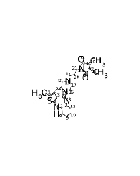 Cc1cc2c(s1)Nc1ccccc1N=C2N1CCN(CCCN2C(=O)C(C)C(C)C2=O)CC1